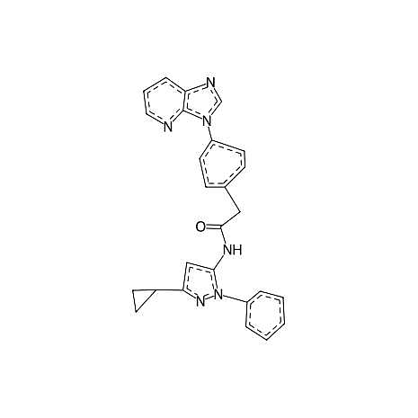 O=C(Cc1ccc(-n2cnc3cccnc32)cc1)Nc1cc(C2CC2)nn1-c1ccccc1